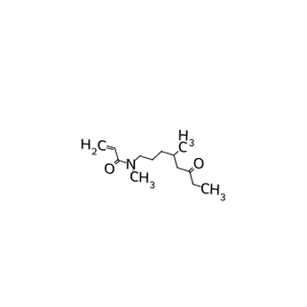 C=CC(=O)N(C)CCCC(C)CC(=O)CC